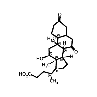 C[C@H](CCC(=O)O)[C@H]1CC[C@H]2[C@@H]3C(=O)CC4CC(=O)CC[C@]4(C)[C@H]3C[C@H](O)[C@]12C